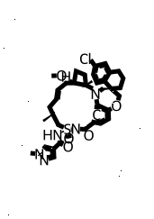 CO[C@H]1/C=C/C[C@H](C)C[S@@](=O)(NC(=O)c2cnn(C)c2)=NC(=O)c2ccc3c(c2)N(C[C@@]2(CCCc4cc(Cl)ccc42)CO3)C[C@@]2(C)CC[C@@H]12